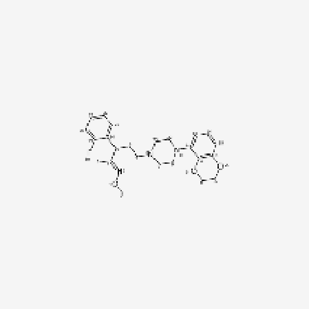 CON=C(C)C(CCN1CCN(c2cccc3c2OCCO3)CC1)c1ccccc1F